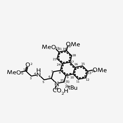 COC(=O)CNCC1Cc2c(c3ccc(OC)cc3c3cc(OC)c(OC)cc23)[C@H](C(C)(C)C)N1C(=O)O